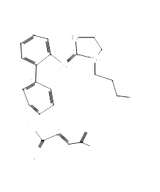 CCCCN1CCN/C1=N\c1ccccc1-c1ccccc1.O=C(O)/C=C/C(=O)O